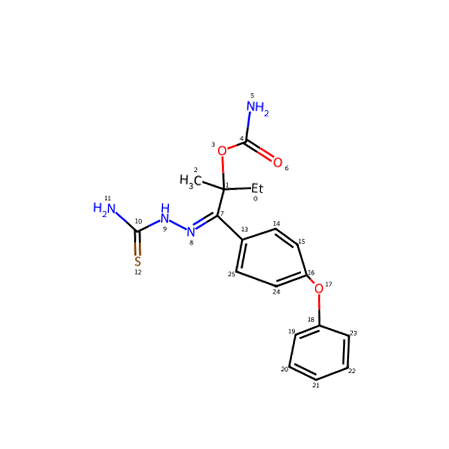 CCC(C)(OC(N)=O)C(=NNC(N)=S)c1ccc(Oc2ccccc2)cc1